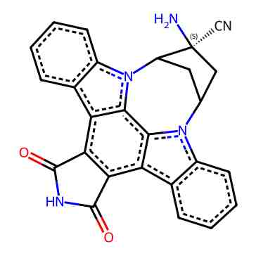 N#C[C@]1(N)CC2CC1n1c3ccccc3c3c4c(c5c6ccccc6n2c5c31)C(=O)NC4=O